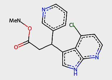 CNOC(=O)CC(c1cccnc1)c1c[nH]c2nccc(Cl)c12